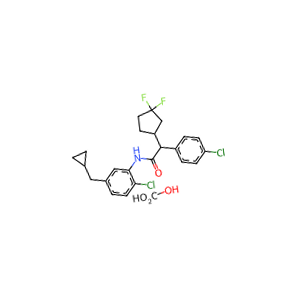 O=C(Nc1cc(CC2CC2)ccc1Cl)C(c1ccc(Cl)cc1)C1CCC(F)(F)C1.O=C(O)O